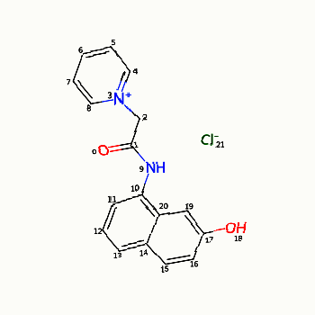 O=C(C[n+]1ccccc1)Nc1cccc2ccc(O)cc12.[Cl-]